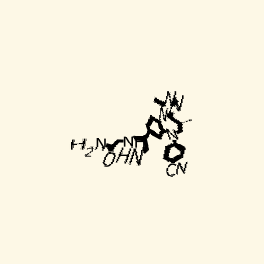 Cc1nnc2n1-c1ccc(/C(C=N)=C/NCC(N)=O)cc1N(c1ccc(C#N)cc1)C[C@H]2C